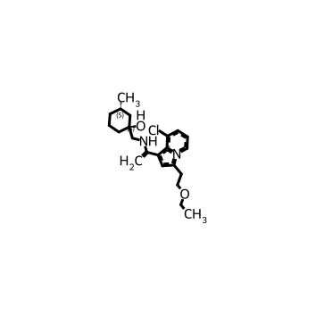 C=C(NC[C@]1(O)CCC[C@H](C)C1)c1cc(CCOCC)n2cccc(Cl)c12